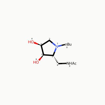 CCCCN1C[C@H](O)[C@H](O)[C@H]1CNC(C)=O